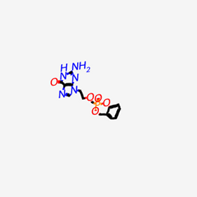 Nc1nc2c(ncn2CCOCP2(=O)OCc3ccccc3O2)c(=O)[nH]1